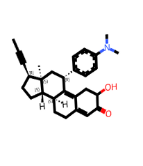 CC#C[C@@H]1CC[C@H]2[C@@H]3CCC4=CC(=O)C(O)CC4=C3[C@@H](c3ccc(N(C)C)cc3)C[C@]12C